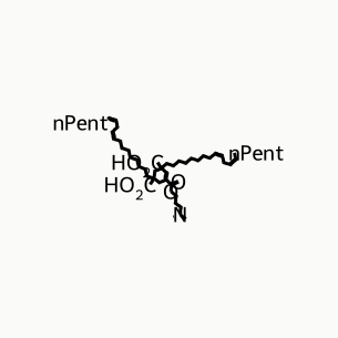 CCCCC/C=C\C/C=C\CCCCCCCCC1(C(=O)O)C=C(C(=O)OCCCN(C)C)CC(CCCCCCCC/C=C\C/C=C\CCCCC)(C(=O)O)C1